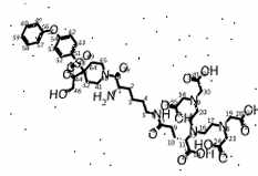 N[C@@H](CCCCNC(=O)CC[C@@H](C(=O)O)N(CCN(CC(=O)O)CC(=O)O)CCN(CC(=O)O)CC(=O)O)C(=O)N1CCC(C(=O)CO)(S(=O)(=O)c2ccc(Oc3ccccc3)cc2)CC1